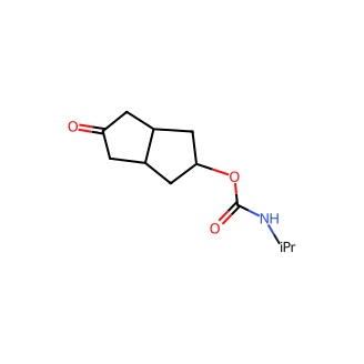 CC(C)NC(=O)OC1CC2CC(=O)CC2C1